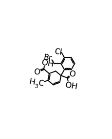 CC1=C(C(=O)O)CC(C(=O)O)(c2cccc(Cl)c2CBr)C=C1